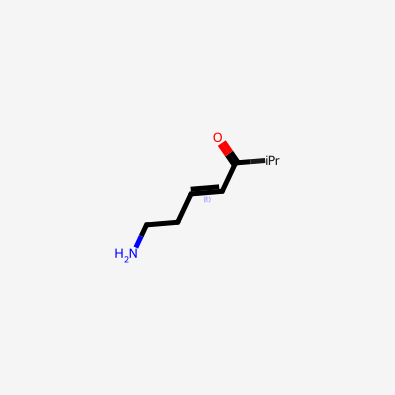 CC(C)C(=O)/C=C/CCN